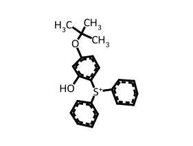 CC(C)(C)Oc1ccc([S+](c2ccccc2)c2ccccc2)c(O)c1